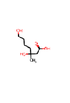 CC(O)(CCCCO)CC(=O)O